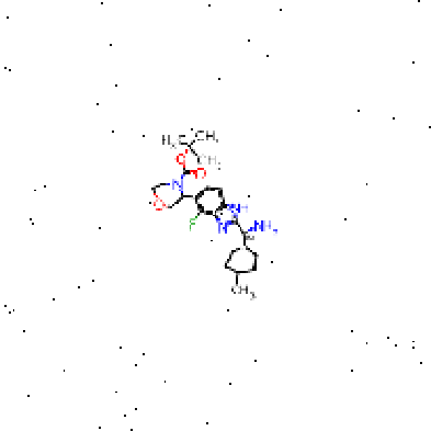 CC1CCC([C@H](N)c2nc3c(F)c(C4COCCN4C(=O)OC(C)(C)C)ccc3[nH]2)CC1